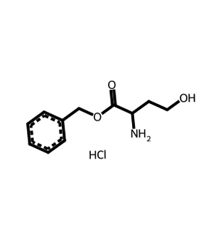 Cl.NC(CCO)C(=O)OCc1ccccc1